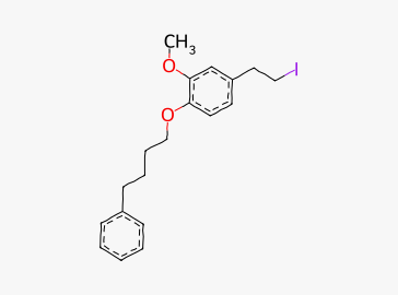 COc1cc(CCI)ccc1OCCCCc1ccccc1